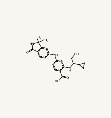 CC1(C)NC(=O)c2ccc(Nc3ncc(C(=O)O)c(NC(CO)C4CC4)n3)cc21